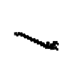 CCCCCCCCCCCCCCCCCC(=O)NC(CC)CCC